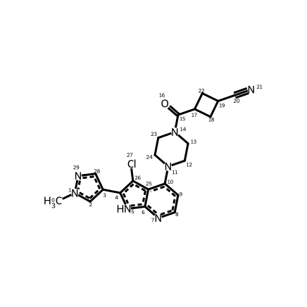 Cn1cc(-c2[nH]c3nccc(N4CCN(C(=O)C5CC(C#N)C5)CC4)c3c2Cl)cn1